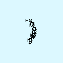 CCn1cc(-n2ccc(=O)c(Cc3cccc(-c4ncc(O)cn4)c3)n2)cn1